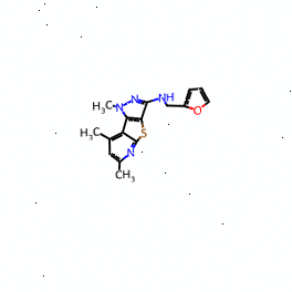 Cc1cc(C)c2c(n1)sc1c(NCc3ccco3)nn(C)c12